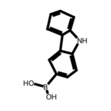 OB(O)c1ccc2[nH]c3ccccc3c2c1